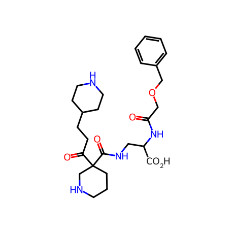 O=C(COCc1ccccc1)NC(CNC(=O)C1(C(=O)CCC2CCNCC2)CCCNC1)C(=O)O